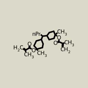 C=C(C)C(=O)OC1(C)CCC(C(CCC)C2CCC(C)(OC(=O)C(=C)C)CC2)CC1